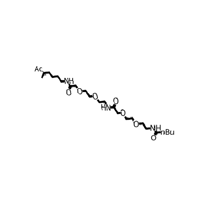 CCCCC(=O)NCCOCCOCC(=O)NCCOCCOCC(=O)NCCCC[C@H](C)C(C)=O